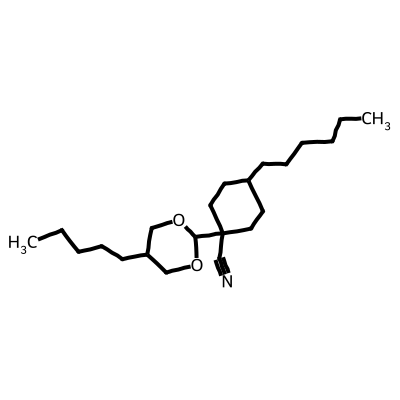 CCCCCCC1CCC(C#N)(C2OCC(CCCCC)CO2)CC1